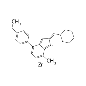 CCc1ccc(-c2ccc(C)c3c2=CC(=CC2CCCCC2)[C]=3)cc1.[Zr]